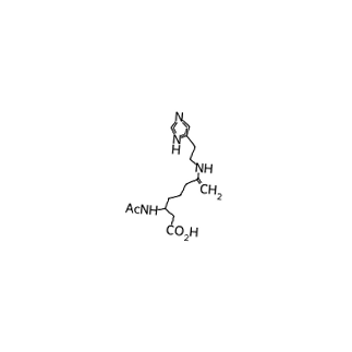 C=C(CCCC(CC(=O)O)NC(C)=O)NCCc1cnc[nH]1